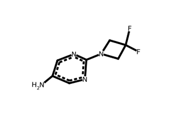 Nc1cnc(N2CC(F)(F)C2)nc1